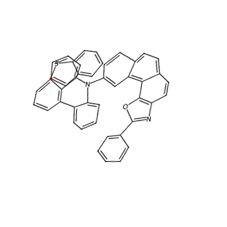 c1ccc(-c2nc3ccc4ccc5ccc(N(c6ccccc6)c6ccccc6-c6cccc7sc8ccccc8c67)cc5c4c3o2)cc1